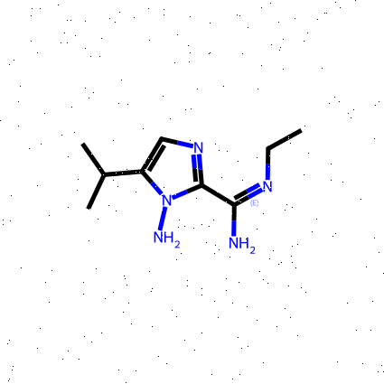 CC/N=C(/N)c1ncc(C(C)C)n1N